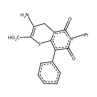 CCCn1c(=O)c(-c2ccccc2)c2n(c1=O)CC(N)=C(C(=O)O)S2